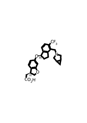 O=C(O)C[C@@H]1COc2cc(O[C@@H]3CCc4c3ccc(C(F)(F)F)c4CN3CC4CC4C3)ccc21